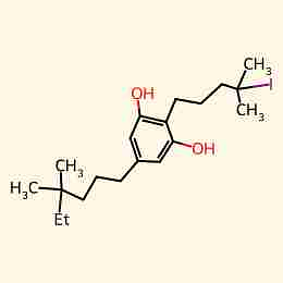 CCC(C)(C)CCCc1cc(O)c(CCCC(C)(C)I)c(O)c1